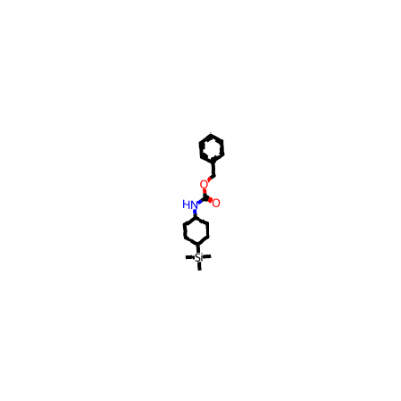 C[Si](C)(C)C1CCC(NC(=O)OCc2ccccc2)CC1